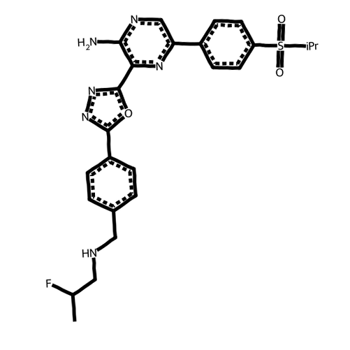 CC(F)CNCc1ccc(-c2nnc(-c3nc(-c4ccc(S(=O)(=O)C(C)C)cc4)cnc3N)o2)cc1